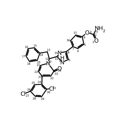 NC(=O)Oc1ccc(-c2c[nH]c(C(Cc3ccccc3)n3ccc(-c4cc(Cl)ccc4Cl)cc3=O)n2)cc1